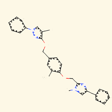 COc1cc(COc2nn(-c3ccccc3)cc2C=O)ccc1OCc1nc(-c2ccccc2)cn1C